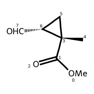 COC(=O)[C@@]1(C)C[C@H]1C=O